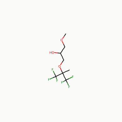 COCC(O)COC(C)(C(F)(F)F)C(F)(F)F